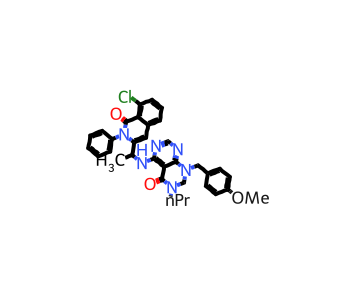 CCCN1CN(Cc2ccc(OC)cc2)c2ncnc(NC(C)c3cc4cccc(Cl)c4c(=O)n3-c3ccccc3)c2C1=O